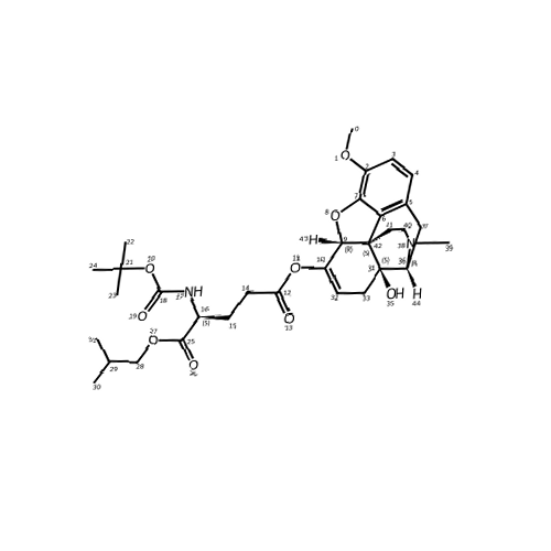 COc1ccc2c3c1O[C@H]1C(OC(=O)CC[C@H](NC(=O)OC(C)(C)C)C(=O)OCC(C)C)=CC[C@@]4(O)[C@@H](C2)N(C)CC[C@]314